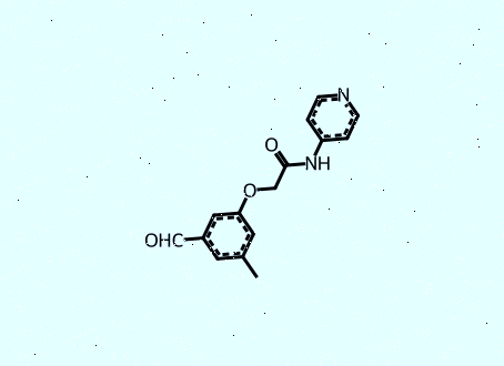 Cc1cc(C=O)cc(OCC(=O)Nc2ccncc2)c1